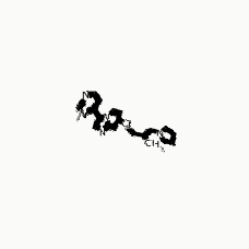 CC(COc1ccn2c(-c3ccncn3)cnc2c1)CN1CCCC1